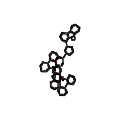 c1ccc(-c2ccccc2N(c2ccc(-c3cccc(-c4cccc5c4oc4ccccc45)c3)cc2)c2ccc(-c3ccccc3-c3ccccc3-n3c4ccccc4c4ccccc43)cc2)cc1